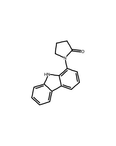 O=C1CCCN1c1cccc2c1[nH]c1ccccc12